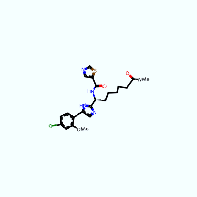 CNC(=O)CCCCC[C@H](NC(=O)c1cncs1)c1ncc(-c2ccc(Cl)cc2OC)[nH]1